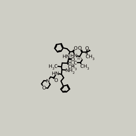 CC(C)C[C@H](NC(=O)C(Cc1ccccc1)NC(=O)C(C)CC(C)C(N)C(CCc1ccccc1)NC(=O)CN1CCOCC1)C(=O)[C@@]1(C)CO1